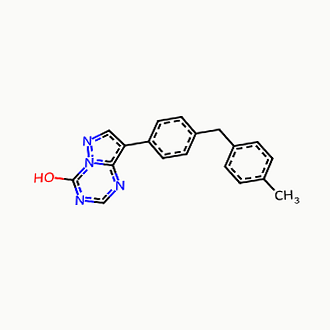 Cc1ccc(Cc2ccc(-c3cnn4c(O)ncnc34)cc2)cc1